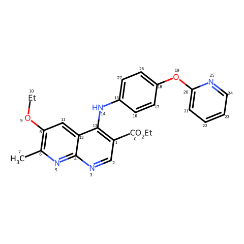 CCOC(=O)c1cnc2nc(C)c(OCC)cc2c1Nc1ccc(Oc2ccccn2)cc1